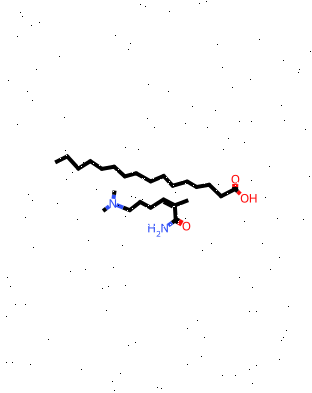 CC(=CCCCN(C)C)C(N)=O.CCCCCCCCCCCCCCCC(=O)O